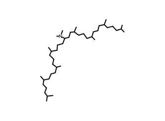 CC(C)CCCC(C)CCCC(C)CCCC(C)CCCC(CCC(C)CCCC(C)CCCC(C)CCCC(C)C)N(C)C